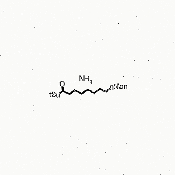 CCCCCCCCCCCCCCCCC(=O)C(C)(C)C.N